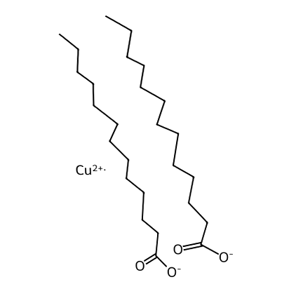 CCCCCCCCCCCCC(=O)[O-].CCCCCCCCCCCCC(=O)[O-].[Cu+2]